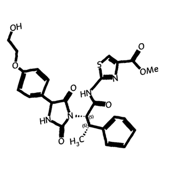 COC(=O)c1csc(NC(=O)[C@H]([C@@H](C)c2ccccc2)N2C(=O)NC(c3ccc(OCCO)cc3)C2=O)n1